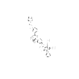 Cc1c(C(=O)Nc2ccc(-c3nc(-c4cccc(OCCN5CCOCC5)c4)cnc3N)cc2)c(=O)n(-c2ccccc2)n1C